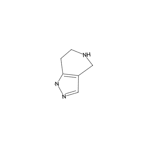 C1=N[N]C2=C1CNCC2